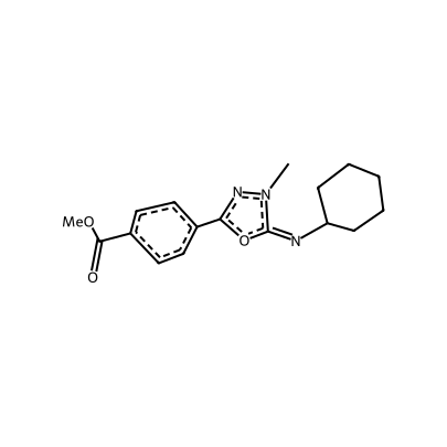 COC(=O)c1ccc(-c2nn(C)/c(=N\C3CCCCC3)o2)cc1